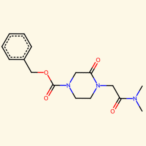 CN(C)C(=O)CN1CCN(C(=O)OCc2ccccc2)CC1=O